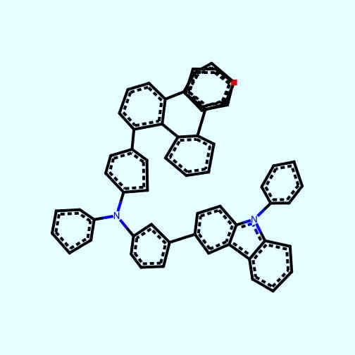 c1ccc(-c2ccccc2-c2c(-c3ccccc3)cccc2-c2ccc(N(c3ccccc3)c3cccc(-c4ccc5c(c4)c4ccccc4n5-c4ccccc4)c3)cc2)cc1